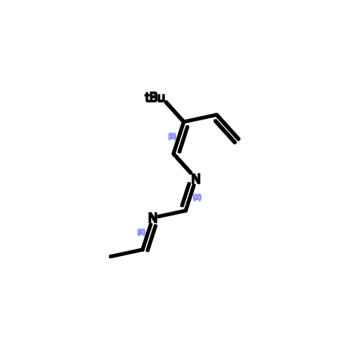 C=C\C(=C/N=C\N=C\C)C(C)(C)C